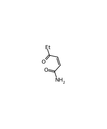 CCC(=O)/C=C\C(N)=O